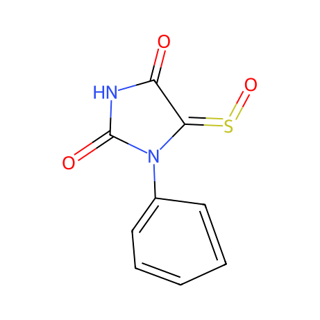 O=S=C1C(=O)NC(=O)N1c1ccccc1